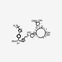 CO[C@H](c1ccc(-n2cc(C(C)(C)N)nn2)cc1)[C@@H](CF)n1cc(CCN(C)[C@H]2C[C@@H](C)O[C@@H](O[C@@H]3[C@@H](C)[C@H](O[C@H]4C[C@@](C)(OC)[C@@H](O)[C@H](C)O4)[C@@H](C)C(=O)O[C@H](I)[C@@](C)(O)[C@H](O)[C@@H](C)N(C)C[C@H](C)C[C@@]3(C)O)[C@@H]2O)nn1